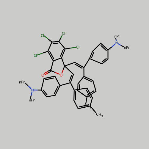 CCCN(CCC)c1ccc(C(=CC2(C=C(c3ccc(C)cc3)c3ccc(N(CCC)CCC)cc3)OC(=O)c3c(Cl)c(Cl)c(Cl)c(Cl)c32)c2ccc(C)cc2)cc1